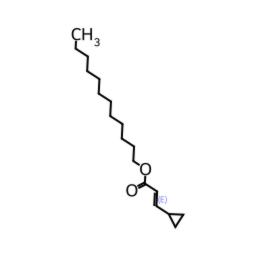 CCCCCCCCCCCCOC(=O)/C=C/C1CC1